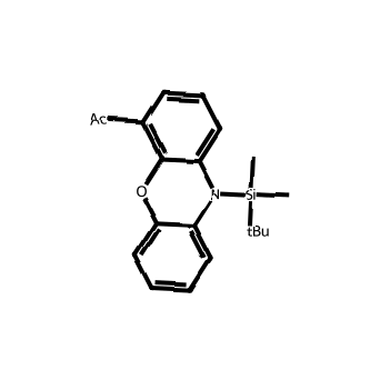 CC(=O)c1cccc2c1Oc1ccccc1N2[Si](C)(C)C(C)(C)C